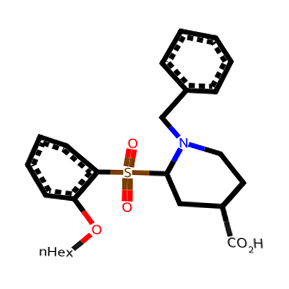 CCCCCCOc1ccccc1S(=O)(=O)C1CC(C(=O)O)CCN1Cc1ccccc1